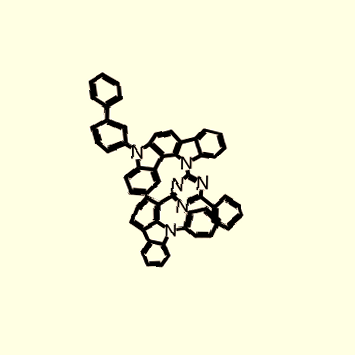 c1ccc(-c2cccc(-n3c4ccccc4c4c3ccc3c5ccccc5n(-c5nc(-c6ccccc6)nc(-c6cccc7c8ccccc8n(-c8ccccc8)c67)n5)c34)c2)cc1